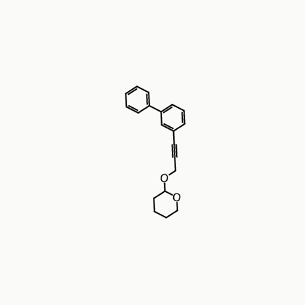 C(#Cc1cccc(-c2ccccc2)c1)COC1CCCCO1